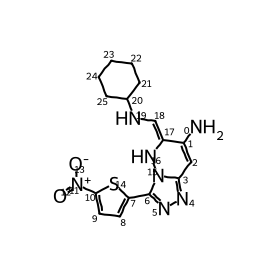 NC1=Cc2nnc(-c3ccc([N+](=O)[O-])s3)n2NC1=CNC1CCCCC1